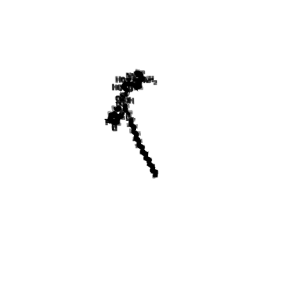 CCCCCCCCCCCCCCCCCCOC[C@H](COP(=O)(O)OC[C@H]1O[C@@](C#N)(c2ccc3c(N)ccnn23)[C@H](O)[C@@H]1O)N(Cc1ccc(F)c(Cl)c1)C(C)=O